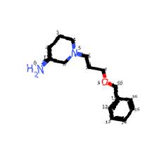 NC1CCCN(CCCOCc2ccccc2)C1